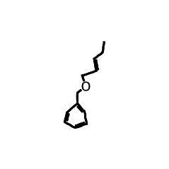 CCC=CCOCc1ccccc1